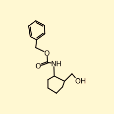 O=C(NC1CCCCC1CO)OCc1ccccc1